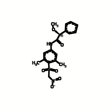 CO[C@H](C(=O)Nc1cc(C)c(S(=O)(=O)C[N+](=O)[O-])c(C)c1)c1ccccc1